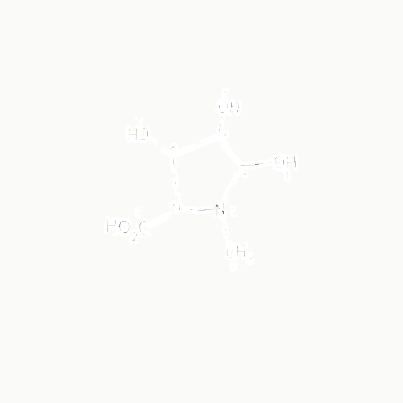 CN1C(O)C(O)C(O)C1C(=O)O